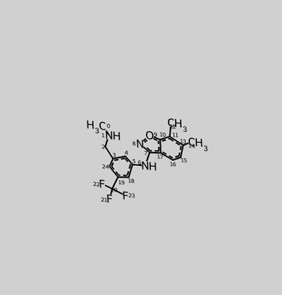 CNCc1cc(Nc2noc3c(C)c(C)ccc23)cc(C(F)(F)F)c1